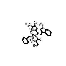 Cc1[nH]c([C@@H](Cc2c[nH]c3ccccc23)N(C(=O)NCc2ccccc2)C(=O)[C@@H](N)CC(C)C)nc1C(=O)O